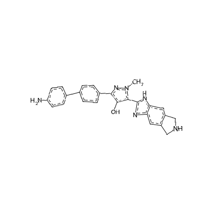 Cn1nc(-c2ccc(-c3ccc(N)cc3)cc2)c(O)c1-c1nc2cc3c(cc2[nH]1)CNC3